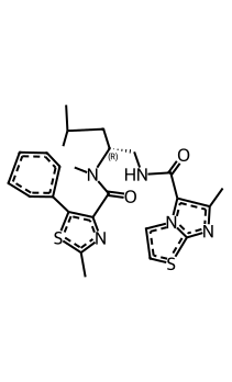 Cc1nc(C(=O)N(C)[C@@H](CNC(=O)c2c(C)nc3sccn23)CC(C)C)c(-c2ccccc2)s1